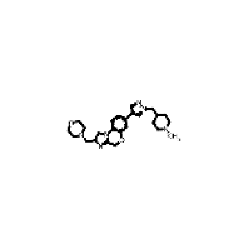 CN1CCC(Cn2cc(-c3ccc4c(c3)OCC3=NC(CN5CCOCC5)CN34)cn2)CC1